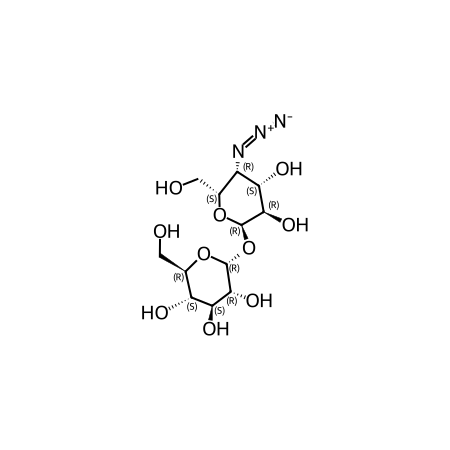 [N-]=[N+]=N[C@@H]1[C@H](O)[C@@H](O)[C@@H](O[C@H]2O[C@H](CO)[C@@H](O)[C@H](O)[C@H]2O)O[C@@H]1CO